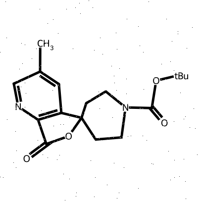 Cc1cnc2c(c1)C1(CCN(C(=O)OC(C)(C)C)CC1)OC2=O